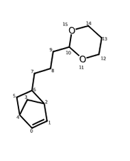 C1=CC2CC1CC2CCCC1OCCCO1